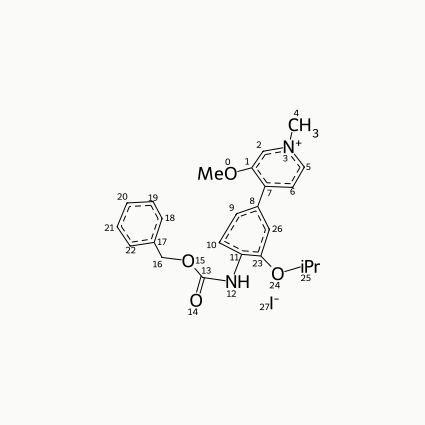 COc1c[n+](C)ccc1-c1ccc(NC(=O)OCc2ccccc2)c(OC(C)C)c1.[I-]